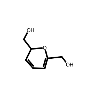 OCC1=CC=CC(CO)O1